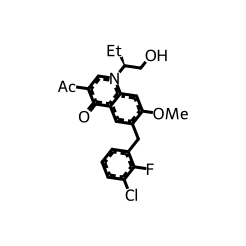 CC[C@@H](CO)n1cc(C(C)=O)c(=O)c2cc(Cc3cccc(Cl)c3F)c(OC)cc21